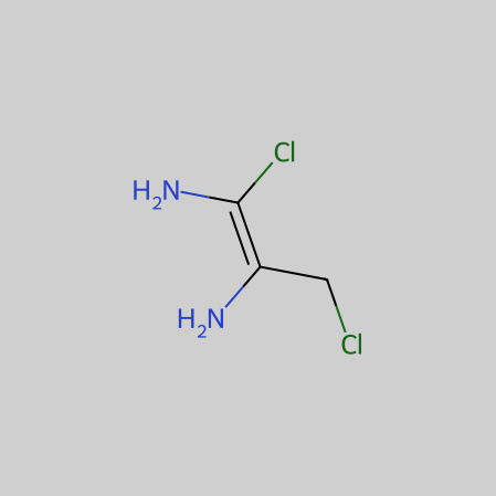 NC(Cl)=C(N)CCl